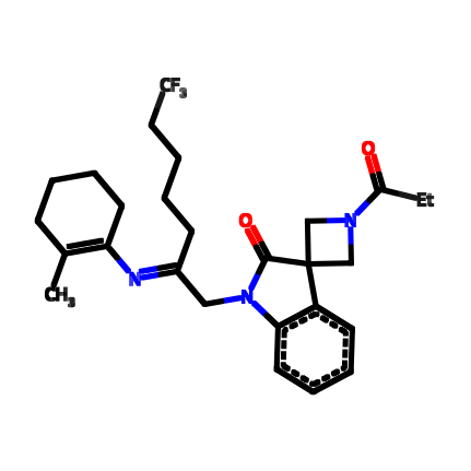 CCC(=O)N1CC2(C1)C(=O)N(C/C(CCCCC(F)(F)F)=N/C1=C(C)CCCC1)c1ccccc12